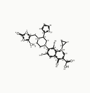 Cc1oc(=O)oc1CN1CCN(c2c(F)cc3c(=O)c(C(=O)O)cn(C4CC4)c3c2F)CC1c1cccs1